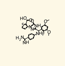 COc1cc(OC)c(F)c(C(Nc2ccc(C(=N)N)cc2)c2nn(-c3ccsc3C(=O)O)c(=O)[nH]2)c1